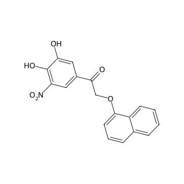 O=C(COc1cccc2ccccc12)c1cc(O)c(O)c([N+](=O)[O-])c1